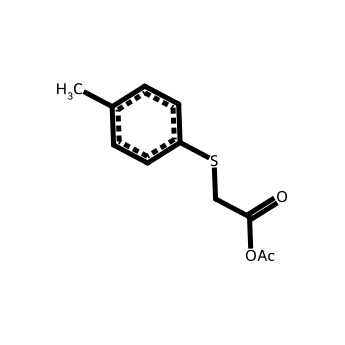 CC(=O)OC(=O)CSc1ccc(C)cc1